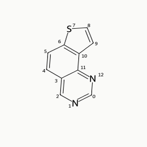 c1ncc2ccc3sccc3c2n1